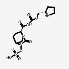 O=C(NC(=O)[C@@H]1CCC2CN1C(=O)N2OS(=O)(=O)O)OC[C@@H]1CCCN1